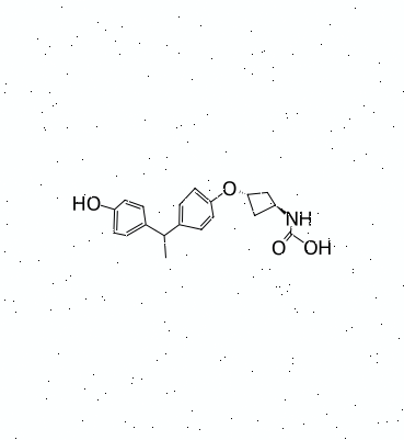 CC(c1ccc(O)cc1)c1ccc(O[C@H]2C[C@H](NC(=O)O)C2)cc1